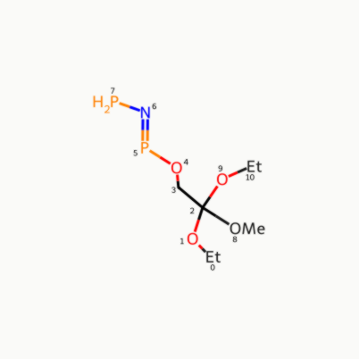 CCOC(COP=NP)(OC)OCC